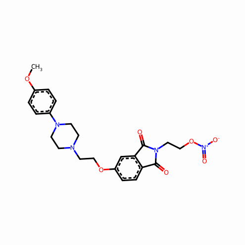 COc1ccc(N2CCN(CCOc3ccc4c(c3)C(=O)N(CCO[N+](=O)[O-])C4=O)CC2)cc1